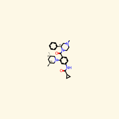 C[C@H]1C[C@H](C)CN(c2cc(NC(=O)C3CC3)ccc2C(=O)N2CCN(C)C[C@@H]2c2ccccc2)C1